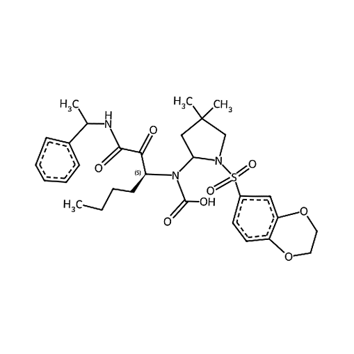 CCCC[C@@H](C(=O)C(=O)NC(C)c1ccccc1)N(C(=O)O)C1CC(C)(C)CN1S(=O)(=O)c1ccc2c(c1)OCCO2